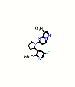 COc1ncc(F)cc1C1CCCN1c1ccn2ncc([N+](=O)[O-])c2n1